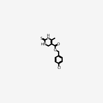 CC1=C(C(=O)OCc2ccc(Cl)cc2)CNC(=S)N1